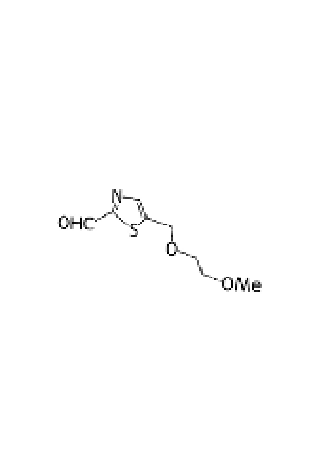 COCCOCc1cnc(C=O)s1